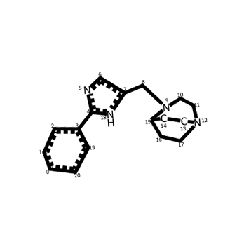 c1ccc(-c2ncc(CN3CCN4CCC3CC4)[nH]2)cc1